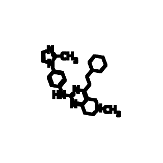 Cc1nccn1-c1ccc(Nc2nc(CCC3CCCCC3)c3c(n2)CCN(C)C3)cc1